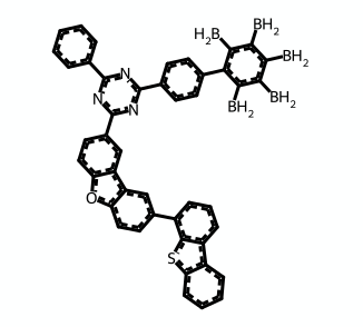 Bc1c(B)c(B)c(-c2ccc(-c3nc(-c4ccccc4)nc(-c4ccc5oc6ccc(-c7cccc8c7sc7ccccc78)cc6c5c4)n3)cc2)c(B)c1B